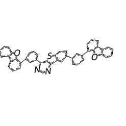 c1cc(-c2ccc3sc4c(-c5cccc(-c6cccc7c6oc6ccccc67)c5)ncnc4c3c2)cc(-c2cccc3c2oc2ccccc23)c1